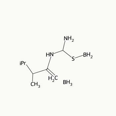 B.BSC(N)NC(=C)C(C)C(C)C